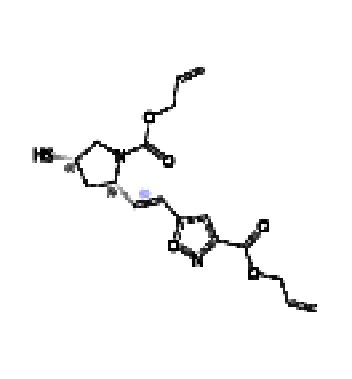 C=CCOC(=O)c1cc(/C=C/[C@@H]2C[C@H](S)CN2C(=O)OCC=C)on1